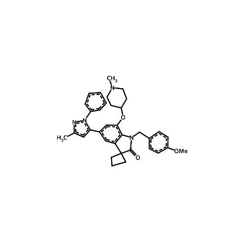 COc1ccc(CN2C(=O)C3(CCC3)c3cc(-c4cc(C)nn4-c4ccccc4)cc(OC4CCN(C)CC4)c32)cc1